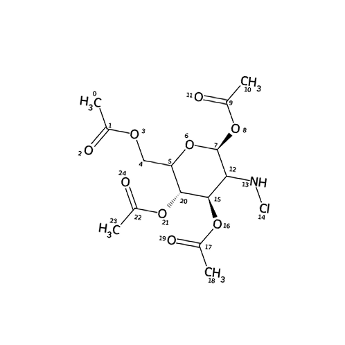 CC(=O)OCC1O[C@@H](OC(C)=O)C(NCl)[C@@H](OC(C)=O)[C@@H]1OC(C)=O